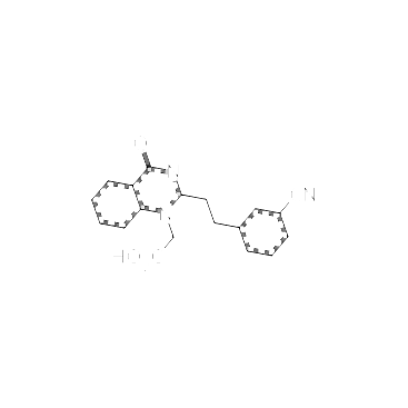 N#Cc1cccc(CCc2nc(=O)c3ccccc3n2CC(=O)O)c1